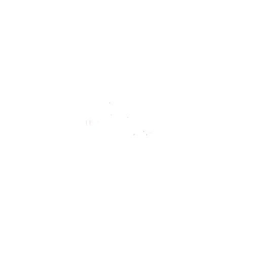 O=[SH](=O)Nc1ccc(O)c(C(F)(F)F)c1